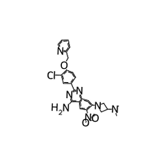 CN(C)C1CN(c2cc3nc(-c4ccc(OCc5ccccn5)c(Cl)c4)nc(N)c3cc2[N+](=O)[O-])C1